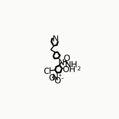 NC(=O)N(c1ccc(Cc2ccncc2)cc1)c1cc(Cl)c([N+](=O)[O-])cc1O